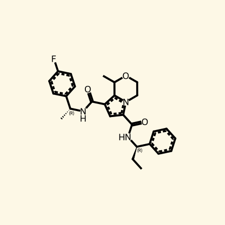 CC[C@@H](NC(=O)c1cc(C(=O)N[C@H](C)c2ccc(F)cc2)c2n1CCOC2C)c1ccccc1